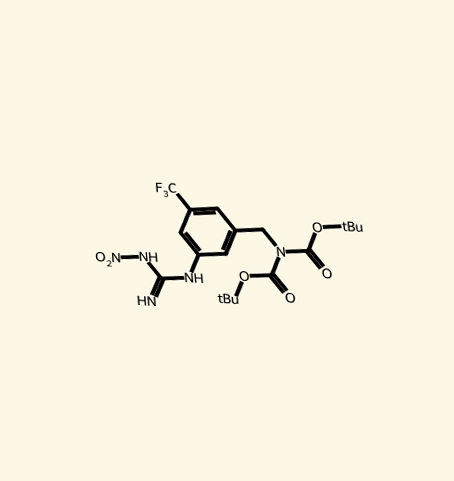 CC(C)(C)OC(=O)N(Cc1cc(NC(=N)N[N+](=O)[O-])cc(C(F)(F)F)c1)C(=O)OC(C)(C)C